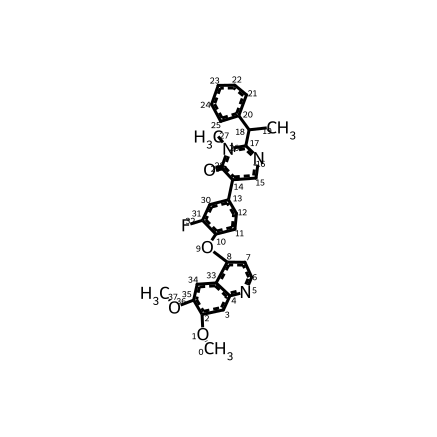 COc1cc2nccc(Oc3ccc(-c4cnc(C(C)c5ccccc5)n(C)c4=O)cc3F)c2cc1OC